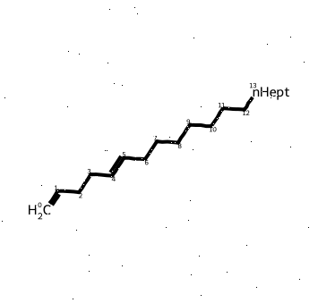 C=CCCC=CCCCCCCCCCCCCCC